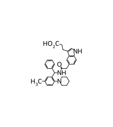 Cc1ccc(N2CCCCC2)c(C(NC(=O)Cc2ccc3[nH]cc(CCC(=O)O)c3c2)c2ccccc2)c1